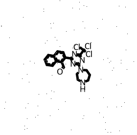 O=Cc1c(-c2nc(N3CCCNCC3)nc(C(Cl)(Cl)Cl)n2)ccc2ccccc12